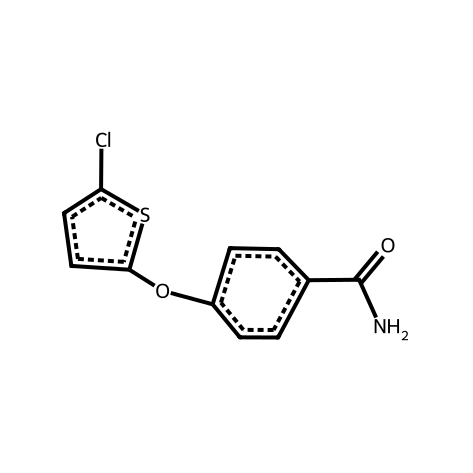 NC(=O)c1ccc(Oc2ccc(Cl)s2)cc1